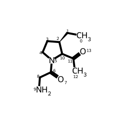 CC[C@@H]1CCN(C(=O)CN)C1C(C)=O